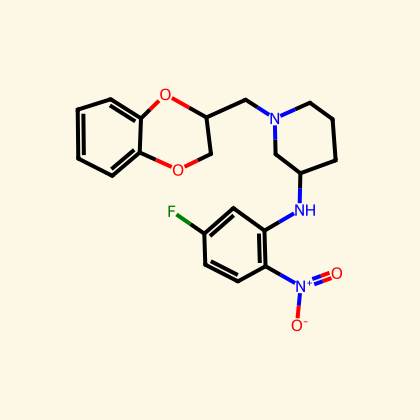 O=[N+]([O-])c1ccc(F)cc1NC1CCCN(CC2COc3ccccc3O2)C1